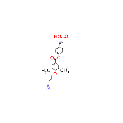 Cc1cc(C(=O)Oc2ccc(/C=C/C(O)O)cc2)cc(C)c1OCCCC#N